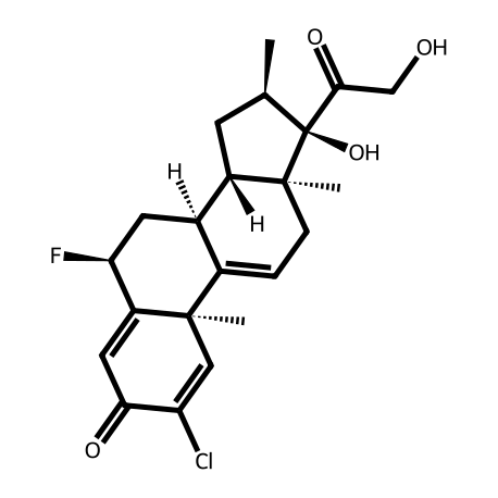 C[C@@H]1C[C@H]2[C@@H]3C[C@H](F)C4=CC(=O)C(Cl)=C[C@]4(C)C3=CC[C@]2(C)[C@@]1(O)C(=O)CO